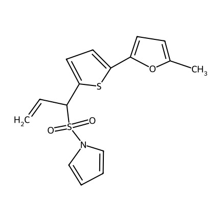 C=CC(c1ccc(-c2ccc(C)o2)s1)S(=O)(=O)n1cccc1